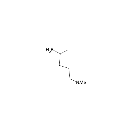 BC(C)CCCNC